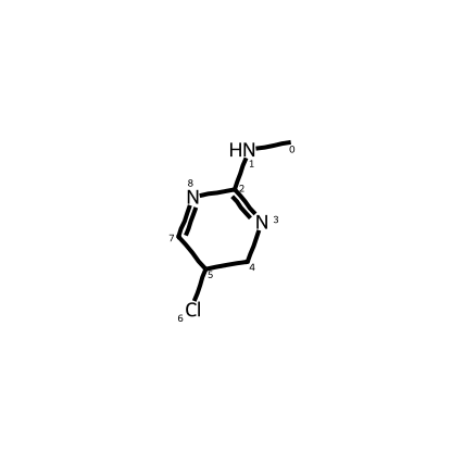 CNC1=NCC(Cl)C=N1